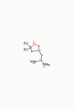 BC(CC1COC(CC)(CC)C1)NC